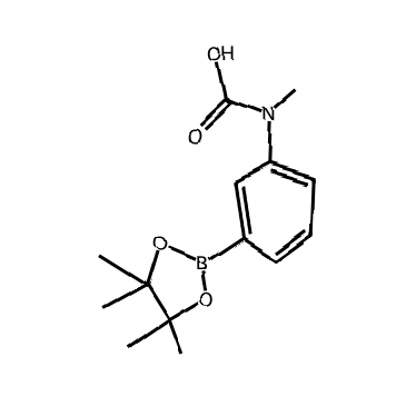 CN(C(=O)O)c1cccc(B2OC(C)(C)C(C)(C)O2)c1